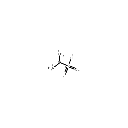 CC(N)S(=O)(=O)Cl